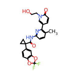 Cc1ccc(NC(=O)C2(c3ccc4c(c3)OC(F)(F)O4)CC2)nc1-c1ccc(=O)n(CCO)c1